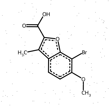 COc1ccc2c(C)c(C(=O)O)oc2c1Br